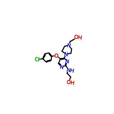 OCCNc1ncc(Oc2ccc(Cl)cc2)c(N2CCN(CCO)CC2)n1